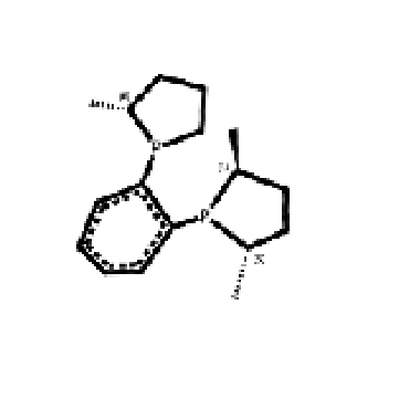 C[C@@H]1CCCP1c1ccccc1P1[C@@H](C)CC[C@@H]1C